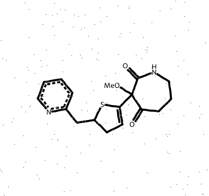 COC1(C2=CCC(Cc3ccccn3)S2)C(=O)CCCNC1=O